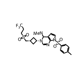 CNC1c2ccn(S(=O)(=O)c3ccc(C)cc3)c2N=CN1[C@H]1C[C@H](CS(=O)(=O)CCC(F)(F)F)C1